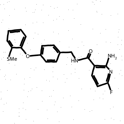 CSc1ccccc1Oc1ccc(CNC(=O)c2ccc(F)nc2N)cc1